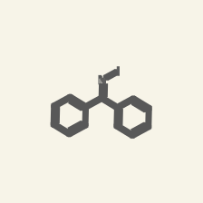 IN=C(c1ccccc1)c1ccccc1